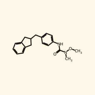 CON(C)C(=O)Nc1ccc(CC2Cc3ccccc3C2)cc1